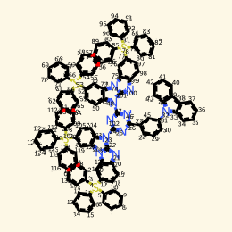 c1ccc(S(c2ccccc2)(c2ccccc2)c2ccc3nc4n(-c5nc(-c6cccc(-n7c8ccccc8c8ccccc87)c6)nc(-n6c7ccc(S(c8ccccc8)(c8ccccc8)c8ccccc8)cc7n7c8cc(S(c9ccccc9)(c9ccccc9)c9ccccc9)ccc8nc67)n5)c5ccc(S(c6ccccc6)(c6ccccc6)c6ccccc6)cc5n4c3c2)cc1